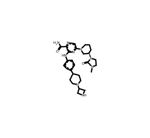 CN1CCN([C@@H]2CCCN(c3cnc(C(N)=O)c(Nc4ccc(C5CCN(C6CNC6)CC5)cc4)n3)C2)C1=O